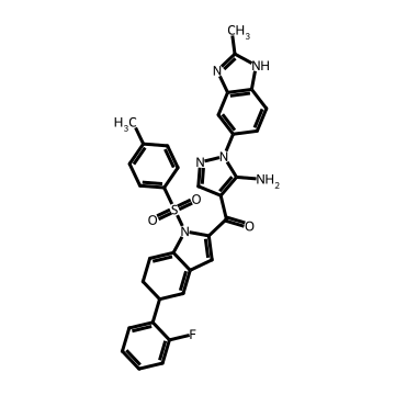 Cc1ccc(S(=O)(=O)n2c(C(=O)c3cnn(-c4ccc5[nH]c(C)nc5c4)c3N)cc3c2=CCC(c2ccccc2F)C=3)cc1